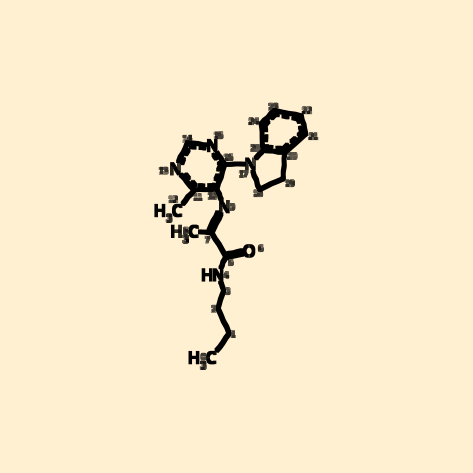 CCCCNC(=O)/C(C)=N/c1c(C)ncnc1N1CCc2ccccc21